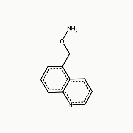 NOCc1cccc2ncccc12